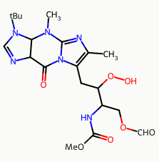 COC(=O)NC(COC=O)C(Cc1c(C)nc2n1C(=O)C1N=CN(C(C)(C)C)C1N2C)OO